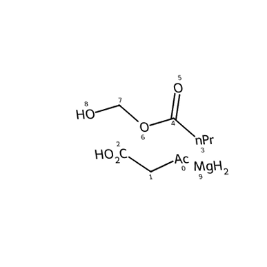 CC(=O)CC(=O)O.CCCC(=O)OCO.[MgH2]